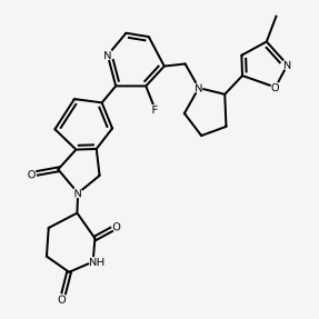 Cc1cc(C2CCCN2Cc2ccnc(-c3ccc4c(c3)CN(C3CCC(=O)NC3=O)C4=O)c2F)on1